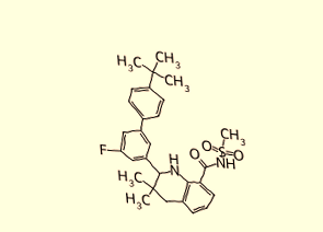 CC(C)(C)c1ccc(-c2cc(F)cc(C3Nc4c(cccc4C(=O)NS(C)(=O)=O)CC3(C)C)c2)cc1